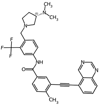 Cc1ccc(C(=O)Nc2ccc(CN3CC[C@H](N(C)C)C3)c(C(F)(F)F)c2)cc1C#Cc1cccc2ncncc12